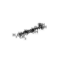 CCCN(CCC)CCNC(=O)c1ccc2nc3c4ccc5c6ccc7c8c(ccc(c9ccc(c(=O)n3c2c1)c4c95)c68)c(=O)n1c2ccc(C(=O)NCCN(CCCS(=O)(=O)O)CCCS(=O)(=O)O)cc2nc71